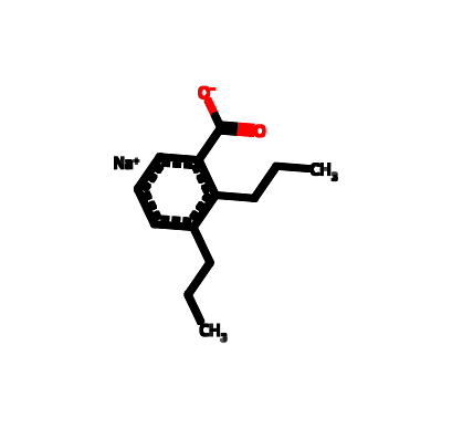 CCCc1cccc(C(=O)[O-])c1CCC.[Na+]